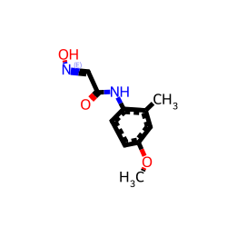 COc1ccc(NC(=O)/C=N/O)c(C)c1